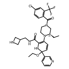 CCOC1(c2cccnc2)C=CC(N2CCN(C(=O)c3ccc(Cl)cc3C(F)(F)F)C[C@H]2CC)=C(C(=O)NCC2CNC2)N1